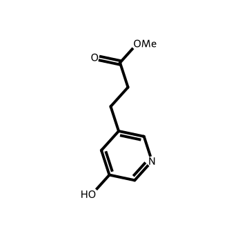 COC(=O)CCc1cncc(O)c1